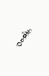 NC1=NC(N)(c2ccc(N3CCC(N4CCOCC4)CC3)c(F)c2)NN1